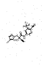 C#CC(O)(Cn1cc(F)cn1)C(=O)Nc1cnc(C#N)c(C(F)(F)F)c1